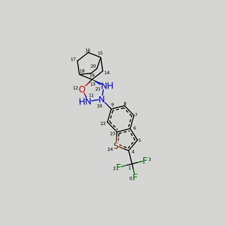 FC(F)(F)c1cc2ccc(N3NO[C@]4(CC5CCC4CC5)N3)cc2s1